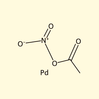 CC(=O)O[N+](=O)[O-].[Pd]